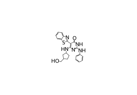 O=c1[nH]c(Nc2ccccc2)nc(NC2CCC(CO)C2)c1-c1nc2ccccc2s1